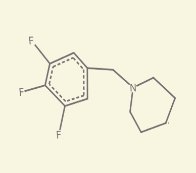 Fc1cc(CN2CC[CH]CC2)cc(F)c1F